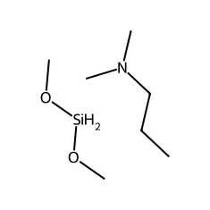 CCCN(C)C.CO[SiH2]OC